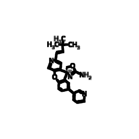 CC(C)(C)C=Cc1cc2c(cn1)Oc1ccc(-c3cccnc3)cc1[C@@]21COC(N)=N1